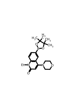 CCn1c(=O)cc(N2CCOCC2)c2cc(B3OC(C)(C)C(C)(C)O3)ccc21